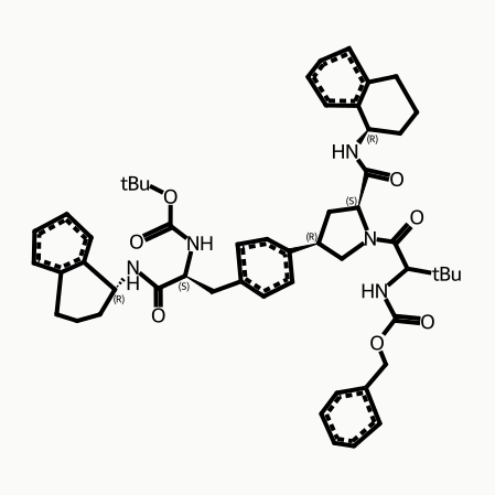 CC(C)(C)OC(=O)N[C@@H](Cc1ccc([C@H]2C[C@@H](C(=O)N[C@@H]3CCCc4ccccc43)N(C(=O)C(NC(=O)OCc3ccccc3)C(C)(C)C)C2)cc1)C(=O)N[C@@H]1CCCc2ccccc21